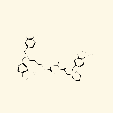 COc1ccc(C[N+](C)(CCCCOC(=O)OC(C)OC(=O)C[N+]2(Cc3ccc(OC)c(OC)c3)CCCCC2)Cc2ccc(OC)c(OC)c2)cc1OC